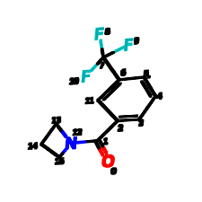 O=C(c1cc[c]c(C(F)(F)F)c1)N1CCC1